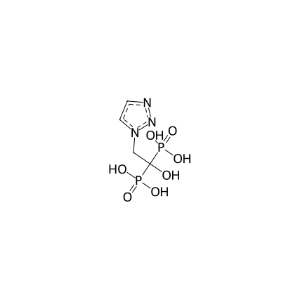 O=P(O)(O)C(O)(Cn1ccnn1)P(=O)(O)O